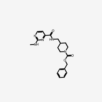 CNc1nccc(C(=O)NCC2CCN(C(=O)OCc3ccccc3)CC2)n1